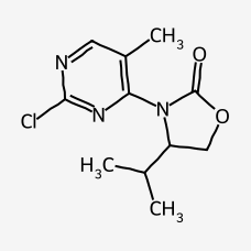 Cc1cnc(Cl)nc1N1C(=O)OCC1C(C)C